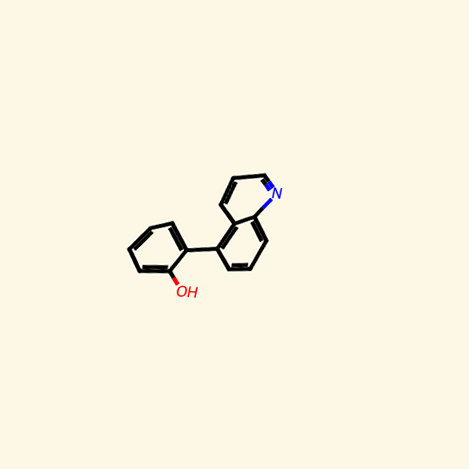 Oc1ccccc1-c1cccc2ncccc12